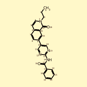 CCCn1ccc2ccc(-c3cnc(NC(=O)c4ccccc4)nc3)cc2c1=O